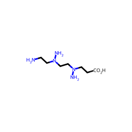 NCCN(N)CCN(N)CCC(=O)O